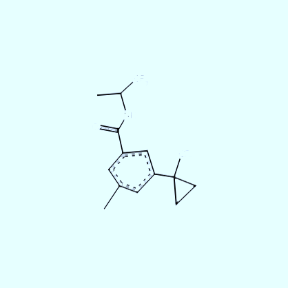 Cc1cc(C(=O)NC(C)C(F)(F)F)cc(C2(C(F)(F)F)CC2)c1